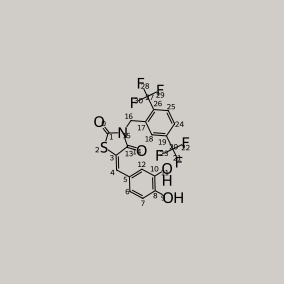 O=C1SC(=Cc2ccc(O)c(O)c2)C(=O)N1Cc1cc(C(F)(F)F)ccc1C(F)(F)F